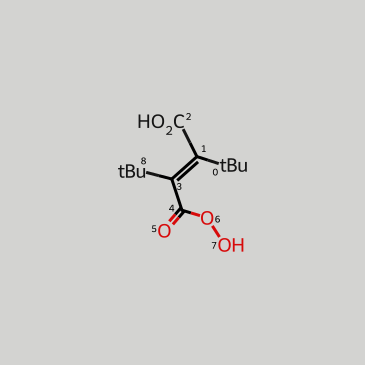 CC(C)(C)C(C(=O)O)=C(C(=O)OO)C(C)(C)C